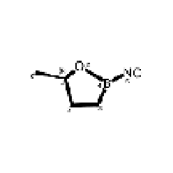 C[C@@H]1CCB(N=O)O1